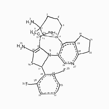 CC1(N)CCCN(c2c(N3C(C(N)=O)=C(N)SC3c3c(F)cccc3F)cnc3c2CCC3)C1